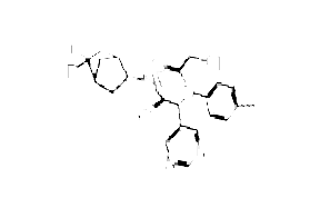 Cc1ccc(N(C(=O)[C@H](F)Cl)[C@H](C(=O)N[C@H]2CC3CC2CC3(F)F)c2cncnc2)cc1